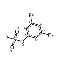 CS(=O)(=O)Oc1[c]c(F)cc(F)c1